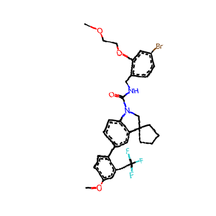 COCCOc1cc(Br)ccc1CNC(=O)N1CC2(CCCC2)c2cc(-c3ccc(OC)cc3C(F)(F)F)ccc21